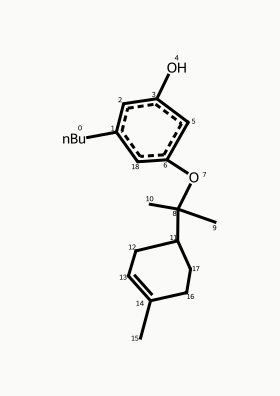 CCCCc1cc(O)cc(OC(C)(C)C2CC=C(C)CC2)c1